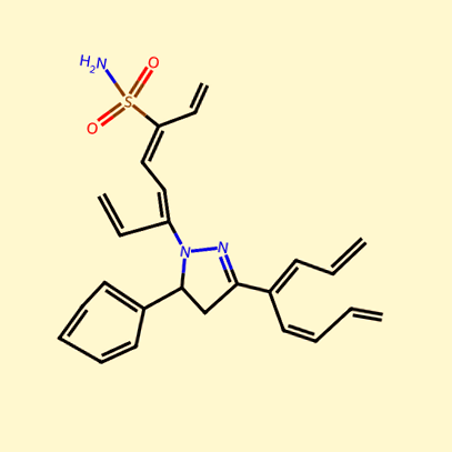 C=C/C=C\C(=C/C=C)C1=NN(/C(C=C)=C/C=C(\C=C)S(N)(=O)=O)C(c2ccccc2)C1